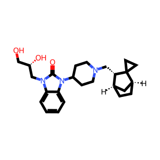 O=c1n(C[C@@H](O)CO)c2ccccc2n1C1CCN(C[C@H]2[C@@H]3CC[C@@H](C3)C23CC3)CC1